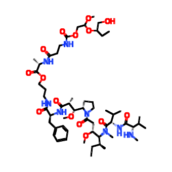 CCC(CO)OC(COC(=O)NCCC(=O)N[C@@H](C)C(=O)OCCCNC(=O)[C@H](Cc1ccccc1)NC(=O)[C@H](C)[C@@H](OC)[C@@H]1CCCN1C(=O)C[C@@H](OC)[C@H]([C@@H](C)CC)N(C)C(=O)[C@@H](NC(=O)[C@@H](NC)C(C)C)C(C)C)OC